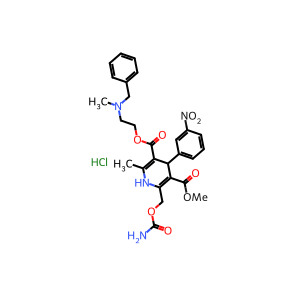 COC(=O)C1=C(COC(N)=O)NC(C)=C(C(=O)OCCN(C)Cc2ccccc2)C1c1cccc([N+](=O)[O-])c1.Cl